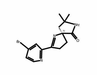 CC1(C)C[C@@]2(CCC(c3cc(Br)ccn3)=N2)C(=O)N1